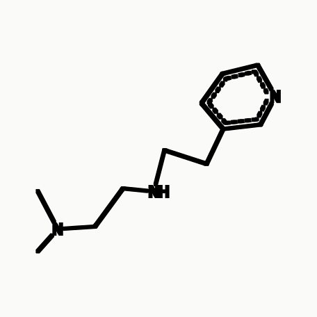 CN(C)CCNCCc1cccnc1